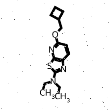 CCN(CC)c1nc2ccc(OCC3CCC3)nc2s1